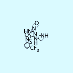 O=c1[nH]c(N2CCOCC2)nc(NC2CCCNC2)c1-c1nc2cccc(C(F)(F)F)c2s1